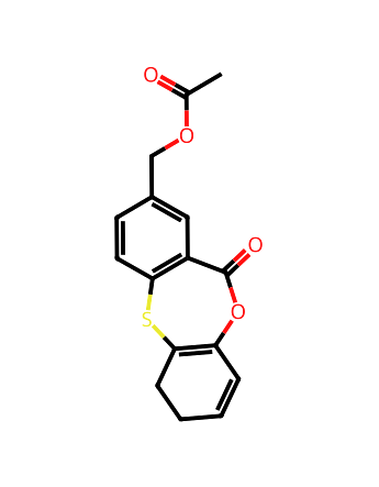 CC(=O)OCc1ccc2c(c1)C(=O)OC1=C(CCC=C1)S2